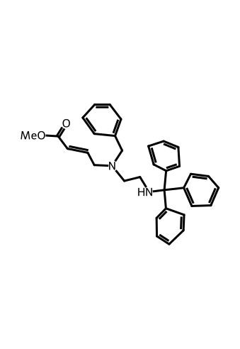 COC(=O)/C=C/CN(CCNC(c1ccccc1)(c1ccccc1)c1ccccc1)Cc1ccccc1